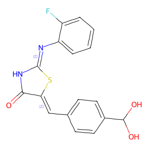 O=C1N/C(=N/c2ccccc2F)S/C1=C\c1ccc(C(O)O)cc1